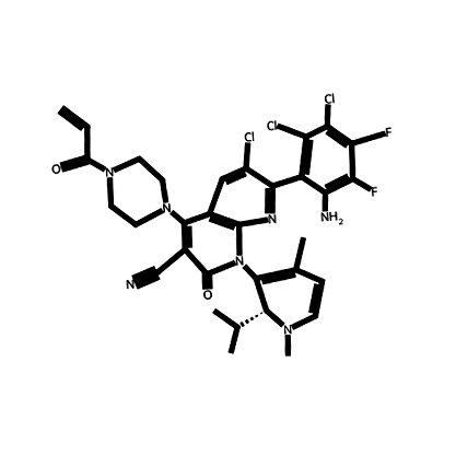 C=CC(=O)N1CCN(c2c(C#N)c(=O)n(C3=C(C)C=CN(C)[C@@H]3C(C)C)c3nc(-c4c(N)c(F)c(F)c(Cl)c4Cl)c(Cl)cc23)CC1